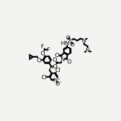 CN(C)CCN(C)CCCS(=O)(=O)Nc1ccc2c(c1)C(=O)N(CC(=O)O[C@@H](Cc1c(Cl)c[n+]([O-])cc1Cl)c1ccc(OC(F)F)c(OCC3CC3)c1)C2=O